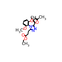 CCOC(=O)CCc1nnc(-c2ccc(C)o2)n1-c1c(OC)cccc1OC